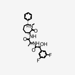 C[C@H](NC(=O)[C@@H](O)c1cc(F)cc(F)c1)C(=O)N[C@H]1CCC[C@H](c2ccccc2)N(C)C1=O